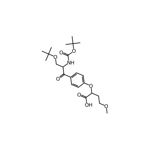 COCCC(Oc1ccc(C(=O)C(COC(C)(C)C)NC(=O)OC(C)(C)C)cc1)C(=O)O